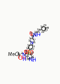 COC(O)CNC(=O)C1(S(=O)(=O)c2ccc(N3CCC(C(=O)NCCCc4ccccc4)CC3)cc2)CCNCC1